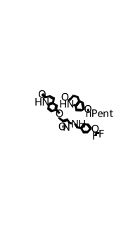 CCCCCOc1ccc2c(c1)CCC(=O)N2.O=c1ccc2cc(OCc3cc(NCc4ccc(OC(F)F)cc4)no3)ccc2[nH]1